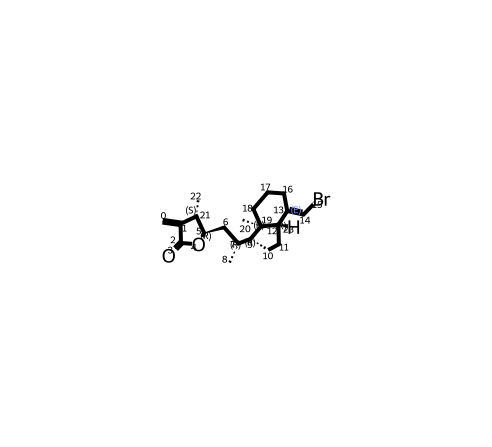 C=C1C(=O)O[C@H](C[C@@H](C)[C@H]2CC[C@H]3/C(=C/Br)CCC[C@]23C)[C@H]1C